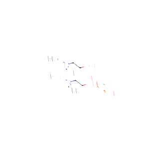 CN(C)CCO.CN(C)CCO.O=S(=O)(O)O